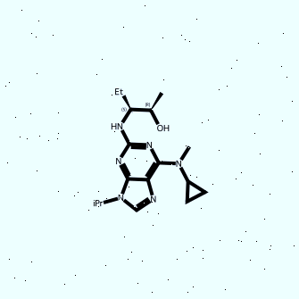 CC[C@H](Nc1nc(N(C)C2CC2)c2ncn(C(C)C)c2n1)[C@@H](C)O